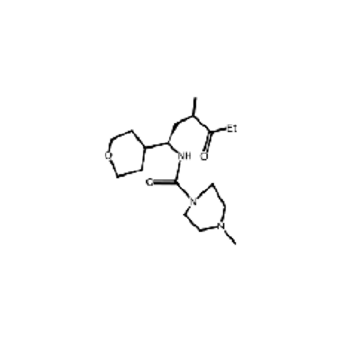 CCC(=O)C(C)C[C@@H](NC(=O)N1CCN(C)CC1)C1CCOCC1